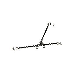 CCCCCCCCCCCCCCCCCCC(=O)OC[C@@H](COC(=O)CCCCCCCCCCCC)OC(=O)CCCCCCCCCCCCCCCCCC